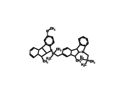 COc1ccc2c(c1)C1C3C=CC=CC3C(C)C1N2[Si](C)(C)CC1=CC2C(C)C3C(c4ccccc4N3C[Si](C)(C)C)C2C=C1